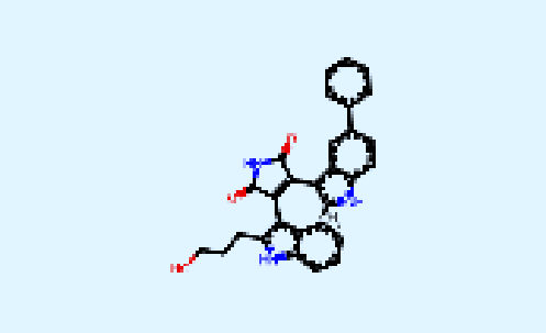 Cc1[nH]c2ccc(-c3ccccc3)cc2c1C1=C(c2c(CCCO)[nH]c3ccccc23)C(=O)NC1=O